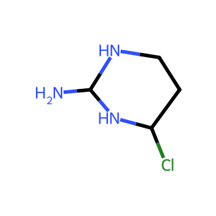 NC1NCCC(Cl)N1